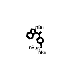 C=C(C1=CC=C(CN(CCCC)CCCC)CC1)C1=C(CCCC)Cc2ccccc21